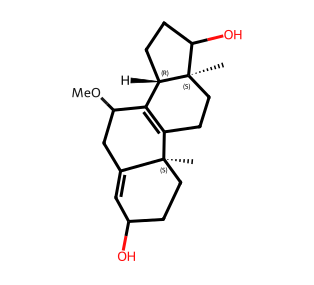 COC1CC2=CC(O)CC[C@]2(C)C2=C1[C@@H]1CCC(O)[C@@]1(C)CC2